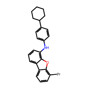 CC(C)c1cccc2c1oc1c(Nc3ccc(C4CCCCC4)cc3)cccc12